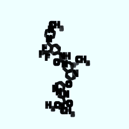 CC[C@H]1CN(C(=O)Nc2ccc(CN3CCN(C)CC3)c(C(F)(F)F)c2)Cc2cc(Oc3ccnn4cc(C(=O)N(C)C)nc34)cnc21